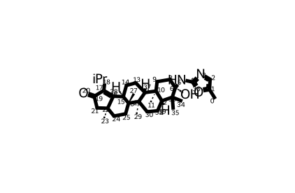 Cc1cnc(N[C@]2(O)CC[C@]3(C)[C@H]4CC[C@@H]5C6=C(C(C)C)C(=O)C[C@]6(C)CC[C@@]5(C)[C@]4(C)CC[C@H]3C2(C)C)o1